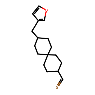 S=CC1CCC2(CC1)CCC(Cc1ccoc1)CC2